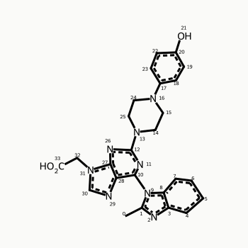 Cc1nc2ccccc2n1-c1nc(N2CCN(c3ccc(O)cc3)CC2)nc2c1ncn2CC(=O)O